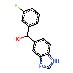 OC(c1cccc(F)c1)c1ccc2[nH]cnc2c1